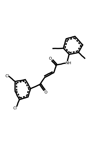 Cc1cccc(C)c1NC(=O)C=CC(=O)c1cc(Cl)cc(Cl)c1